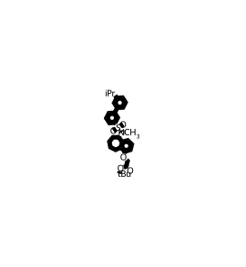 CC(C)c1cccc(-c2cccc(S(=O)(=O)N(C)C3CCCCc4c(OCC(=O)OC(C)(C)C)cccc43)c2)c1